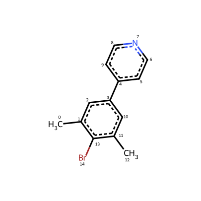 Cc1cc(-c2ccncc2)cc(C)c1Br